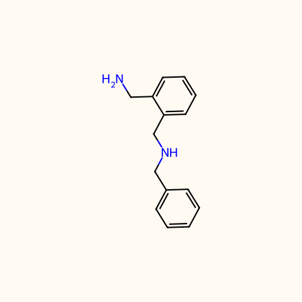 NCc1ccccc1CNCc1ccccc1